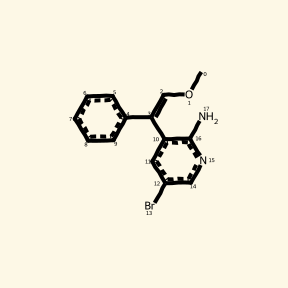 COC=C(c1ccccc1)c1cc(Br)cnc1N